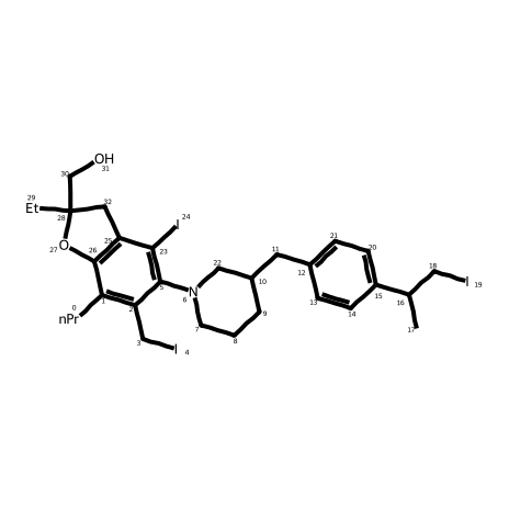 CCCc1c(CI)c(N2CCCC(Cc3ccc(C(C)CI)cc3)C2)c(I)c2c1OC(CC)(CO)C2